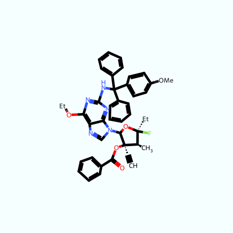 C#C[C@]1(OC(=O)c2ccccc2)C(n2cnc3c(OCC)nc(NC(c4ccccc4)(c4ccccc4)c4ccc(OC)cc4)nc32)O[C@](F)(CC)[C@H]1C